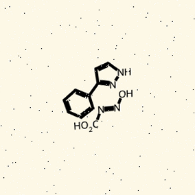 O=C(O)N=NO.c1ccc(-c2cc[nH]n2)cc1